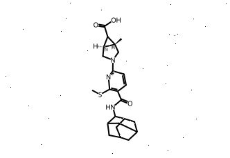 CSc1nc(N2C[C@H]3C(C(=O)O)[C@]3(C)C2)ccc1C(=O)NC1C2CC3CC(C2)CC1C3